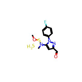 COSN(C)c1cc(C=O)nn1-c1ccc(F)cc1.S